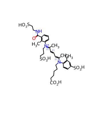 C\C(=C/C=C/C(C)=[N+](\CCCS(=O)(=O)O)c1cccc(C(=O)NCCS(=O)(=O)O)c1C)N(CCCCCC(=O)O)c1ccc(S(=O)(=O)O)cc1C